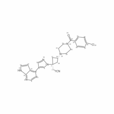 N#CC[C@]1(n2cc(-c3ncnc4[nH]ccc34)cn2)C[C@H](N2CCN(C(=O)c3ccc(Cl)cc3)CC2)C1